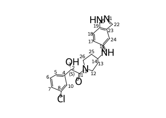 O=C([C@@H](O)c1cccc(Cl)c1)N1CCC(Nc2ccc3[nH]ncc3c2)CC1